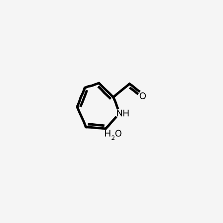 O.O=CC1=CC=CC=CN1